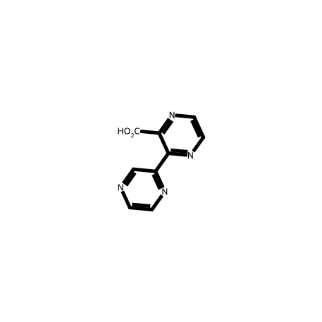 O=C(O)c1nccnc1-c1cnccn1